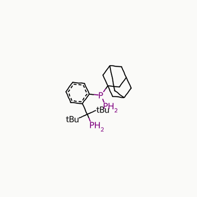 CC(C)(C)C(P)(c1ccccc1P(P)C12CC3CC(CC(C3)C1)C2)C(C)(C)C